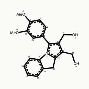 COc1ccc(-c2c(CO)c(CO)c3n2-c2ccccc2C3)cc1OC